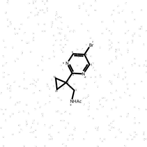 CC(=O)NCC1(c2ncc(Br)cn2)CC1